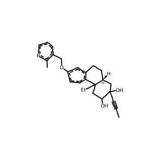 CC#CC1(O)C[C@H]2CCc3cc(OCc4cccnc4C)ccc3C2(CC)CC1O